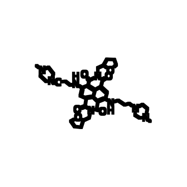 CN1CCN(CCCNc2cc3c4c(c(NCCCN5CCN(C)CC5)cc5c4c2C(=O)N(CC2CCCO2)C5=O)C(=O)N(CC2CCCO2)C3=O)CC1